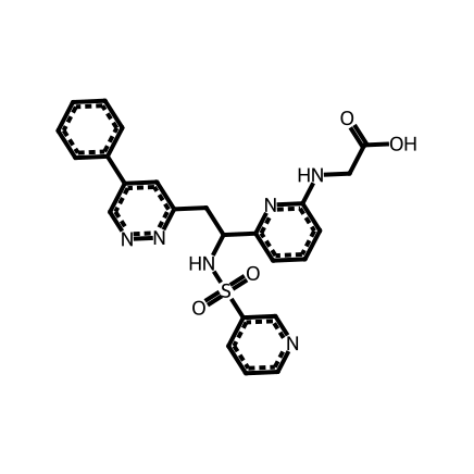 O=C(O)CNc1cccc(C(Cc2cc(-c3ccccc3)cnn2)NS(=O)(=O)c2cccnc2)n1